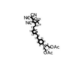 CC(=O)OCCN(CCOC(C)=O)c1ccc(/C=C/c2ccc(CCC3=C(C#N)C(=C(C#N)C#N)OC3(C)C)s2)cc1